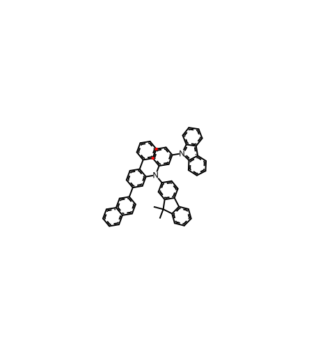 CC1(C)c2ccccc2-c2ccc(N(c3cccc(-n4c5ccccc5c5ccccc54)c3)c3cc(-c4ccc5ccccc5c4)ccc3-c3ccccc3)cc21